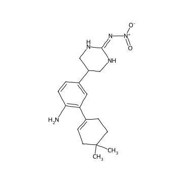 CC1(C)CC=C(c2cc(C3CNC(=N[N+](=O)[O-])NC3)ccc2N)CC1